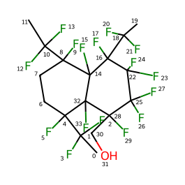 CC(F)(F)C1(F)CCC(F)(C(C)(F)F)C2(F)C(F)(C(C)(F)F)C(F)(F)C(F)(F)C(F)(CO)C12F